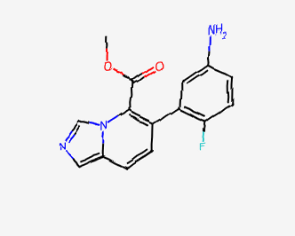 COC(=O)c1c(-c2cc(N)ccc2F)ccc2cncn12